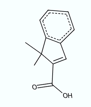 CC1(C)C(C(=O)O)=Cc2ccccc21